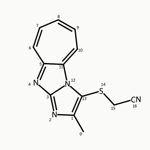 Cc1nc2nc3cccccc3n2c1SCC#N